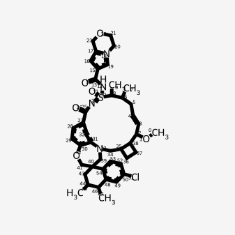 COC1/C=C/CC(C)C(C)S(=O)(NC(=O)c2cc3n(c2)CCOC3)=NC(=O)c2ccc3c(c2)N(CC2CCC21)CC1(CO3)CC(C)C(C)c2cc(Cl)ccc21